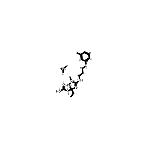 CCC1(NC(=O)O)N=C(NCCCOc2cccc(C)c2)N(C)N1.CNC